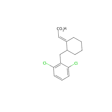 O=C(O)C=C1CCCCC1Cc1c(Cl)cccc1Cl